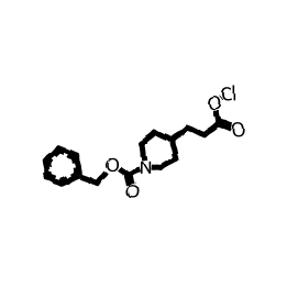 O=C(CCC1CCN(C(=O)OCc2ccccc2)CC1)OCl